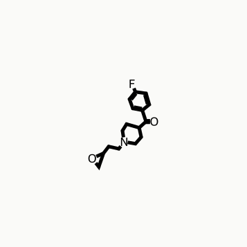 O=C(c1ccc(F)cc1)C1CCN(CCC2CO2)CC1